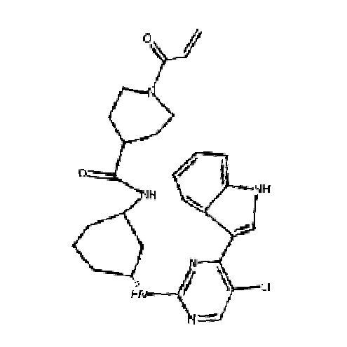 C=CC(=O)N1CCC(C(=O)NC2CCC[C@@H](Nc3ncc(Cl)c(-c4c[nH]c5ccccc45)n3)C2)CC1